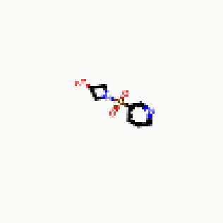 O=S(=O)(c1cccnc1)N1CC(O)C1